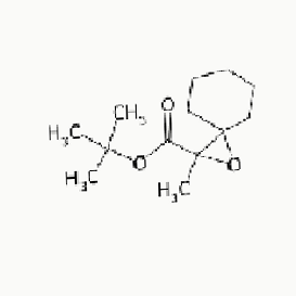 CC(C)(C)OC(=O)C1(C)OC12CCCCC2